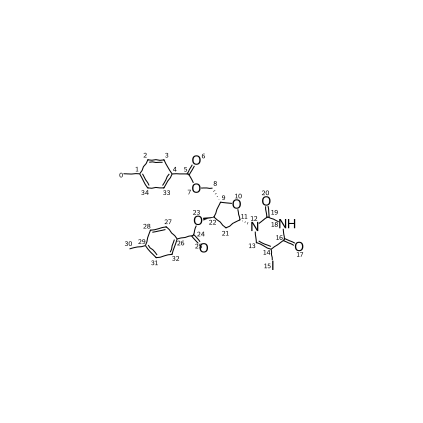 Cc1ccc(C(=O)OC[C@@H]2O[C@H](n3cc(I)c(=O)[nH]c3=O)C[C@H]2OC(=O)c2ccc(C)cc2)cc1